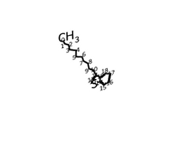 CCCCCCCCCCCc1[c]sc2c[c]ccc12